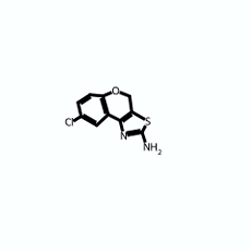 Nc1nc2c(s1)COc1ccc(Cl)cc1-2